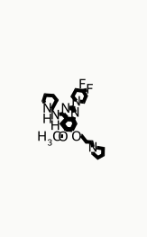 COc1cc2c(N[C@H]3CCCCN3)nc(N3CCC(F)(F)CC3)nc2cc1OCCCN1CCCC1